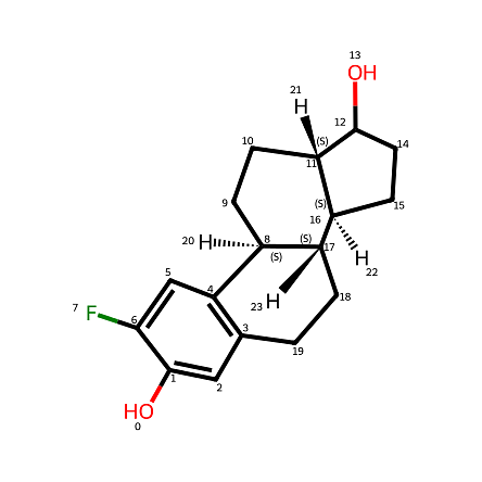 Oc1cc2c(cc1F)[C@H]1CC[C@@H]3C(O)CC[C@H]3[C@@H]1CC2